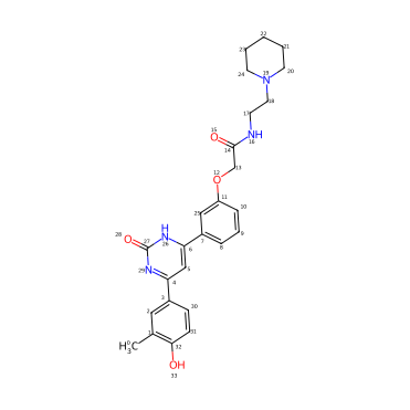 Cc1cc(-c2cc(-c3cccc(OCC(=O)NCCN4CCCCC4)c3)[nH]c(=O)n2)ccc1O